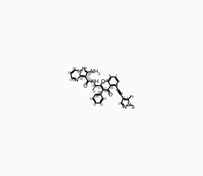 Cc1c(C#Cc2cccc3oc([C@@H](C)NC(=O)c4c(N)nn5cccnc45)c(-c4ccccc4)c(=O)c23)cnn1C